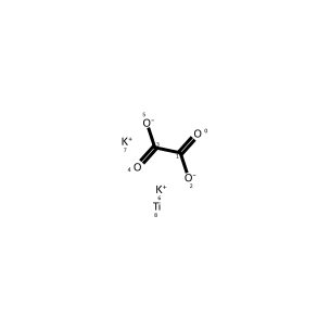 O=C([O-])C(=O)[O-].[K+].[K+].[Ti]